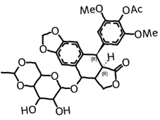 COc1cc([C@@H]2c3cc4c(cc3C(OC3OC5COC(C)OC5C(O)C3O)C3COC(=O)[C@@H]32)OCO4)cc(OC)c1OC(C)=O